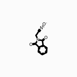 O=C1c2ccccc2C(=O)N1CC#[N+][O-]